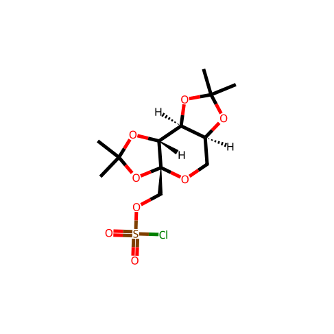 CC1(C)O[C@H]2[C@H](CO[C@]3(COS(=O)(=O)Cl)OC(C)(C)O[C@H]23)O1